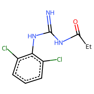 CCC(=O)NC(=N)Nc1c(Cl)cccc1Cl